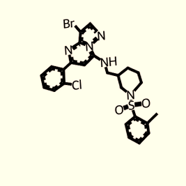 Cc1ccccc1S(=O)(=O)N1CCCC(CNc2cc(-c3ccccc3Cl)nc3c(Br)cnn23)C1